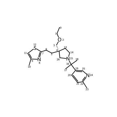 CCOC[C@]1(CCc2nc(C)cs2)CCN(C(C)(C)c2ccc(C)nc2)C1